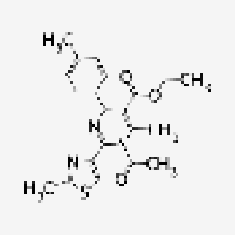 CCOC(=O)C1=C(C)N(C(C)=O)C(c2csc(C)n2)=NC1c1ccc(C)cc1